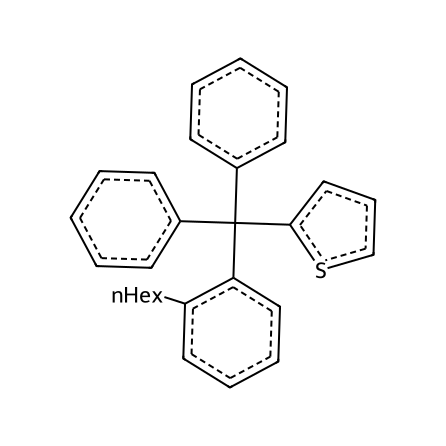 CCCCCCc1ccccc1C(c1ccccc1)(c1ccccc1)c1cccs1